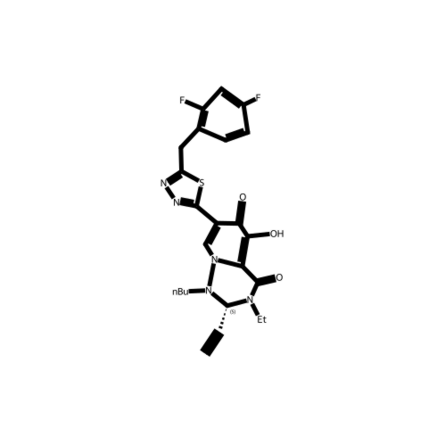 C#C[C@H]1N(CC)C(=O)c2c(O)c(=O)c(-c3nnc(Cc4ccc(F)cc4F)s3)cn2N1CCCC